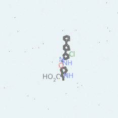 Cc1[nH]c2ccc(Oc3nc4cc(-c5ccc(-c6ccccc6)cc5)c(Cl)cc4[nH]3)cc2c1C(=O)O